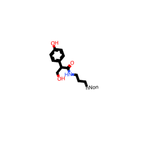 CCCCCCCCCCCCNC(=O)C(CO)c1ccc(O)cc1